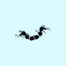 C=CCc1cc(C(C)(C)c2ccc(Oc3ccc(S(=O)(=O)c4ccc(Oc5ccc(C(C)(C)c6ccc(C#N)c(CC=C)c6)cc5)cc4)cc3)cc2)ccc1C#N